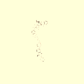 Cc1cccc(C)c1Nc1nn(C)c2nc(Nc3ccc4c(c3)CN(CC(O)CN3CCN(c5ccc6c(c5)C(=O)N(C5CCC(=O)NC5=O)C6=O)CC3)CC4)ncc12